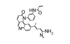 C=CC(=O)Nc1cccc(-n2c(=O)ccc3cnc4ccc(/C(C)=C/C=C(/N)N=C)cc4c32)c1